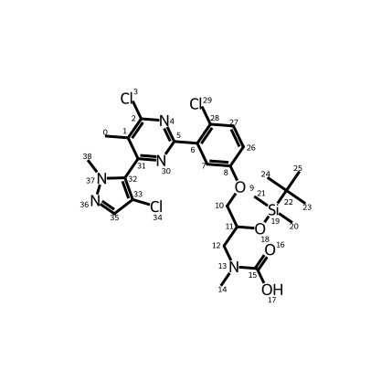 Cc1c(Cl)nc(-c2cc(OCC(CN(C)C(=O)O)O[Si](C)(C)C(C)(C)C)ccc2Cl)nc1-c1c(Cl)cnn1C